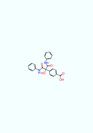 O=C(O)c1ccc(C(O)(C(=O)Nc2ccccc2)C(=O)Nc2ccccc2)cc1